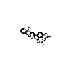 O=C(/C=C1\COC(=O)c2c1ccc(OC(F)F)c2OC(F)F)Nc1ncccc1C(=O)O